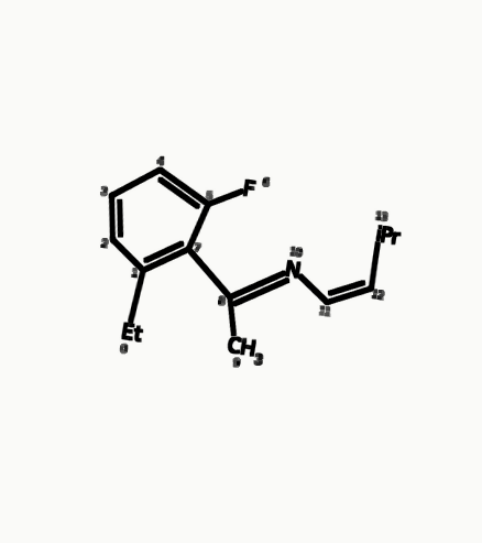 CCc1cccc(F)c1/C(C)=N/C=C\C(C)C